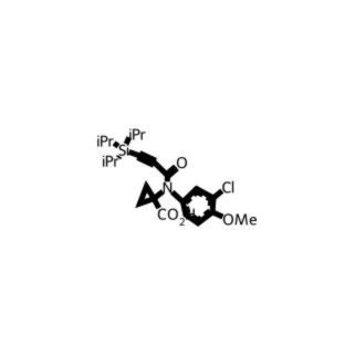 COc1ccc(N(C(=O)C#C[Si](C(C)C)(C(C)C)C(C)C)C2(C(=O)O)CC2)cc1Cl